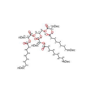 CCCCCCCCCCCCCCCCCC(=O)OC(CCCCCCCCCC)C(=O)OCC(COC(=O)C(CCCCCCCCCC)OC(=O)CCCCCCCCCCCCCCCCC)OC(=O)C(CCCCCCCCCC)OC(=O)CCCCCCCCCCCCCCCCC